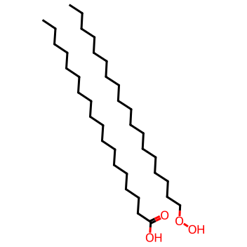 CCCCCCCCCCCCCCCCCC(=O)O.CCCCCCCCCCCCCCCCCCOO